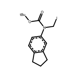 CC(C)(C)OC(=O)N(CI)c1ccc2c(c1)CCC2